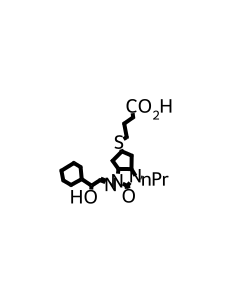 CCCN1C(=O)N(N=CC(O)C2CCCCC2)C2CC(SCCCC(=O)O)CC21